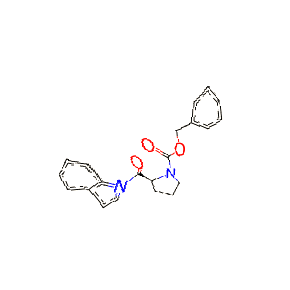 O=C(OCc1ccccc1)N1CCC[C@H]1C(=O)n1ccc2ccccc21